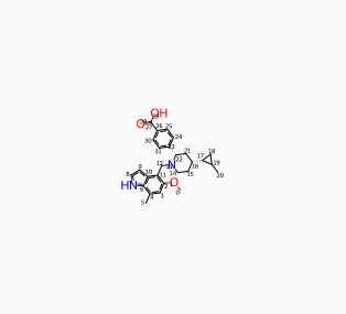 COc1cc(C)c2[nH]ccc2c1CN1CC[C@@H](C2CC2C)C[C@H]1c1ccc(C(=O)O)cc1